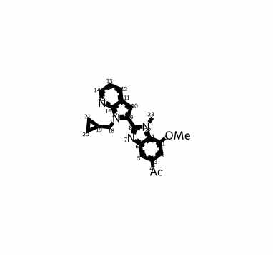 COc1cc(C(C)=O)cc2nc(-c3cc4cccnc4n3CC3CC3)n(C)c12